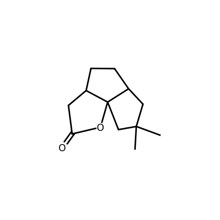 CC1(C)CC2CCC3CC(=O)OC32C1